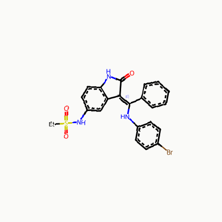 CCS(=O)(=O)Nc1ccc2c(c1)/C(=C(\Nc1ccc(Br)cc1)c1ccccc1)C(=O)N2